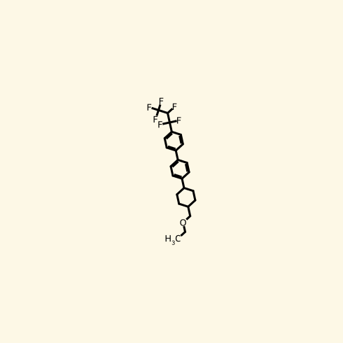 CCOCC1CCC(c2ccc(-c3ccc(C(F)(F)C(F)C(F)(F)F)cc3)cc2)CC1